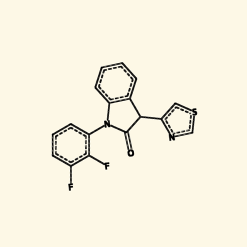 O=C1C(c2cscn2)c2ccccc2N1c1cccc(F)c1F